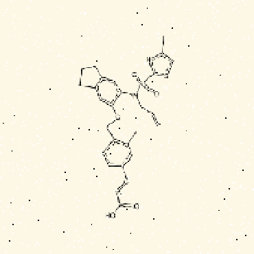 C=CCN(c1cc2c(cc1OCc1ccc(/C=C/C(=O)O)cc1C)CCC2)S(=O)(=O)c1nc(C)cs1